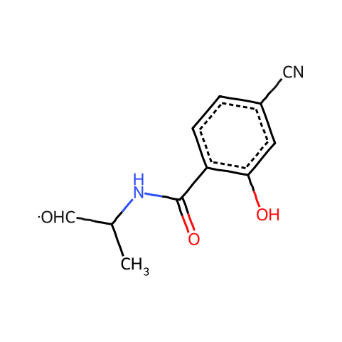 CC([C]=O)NC(=O)c1ccc(C#N)cc1O